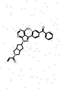 C=CC(=O)N1CC2CC(n3nc(-c4ccc(C(=O)c5ccccc5)cc4)c4c(N)ncnc43)CC2C1